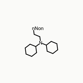 CCCCCCCCCCCN(C1CCCCC1)C1CCCCC1